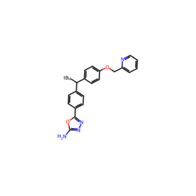 CC(C)(C)C(c1ccc(OCc2ccccn2)cc1)c1ccc(-c2nnc(N)o2)cc1